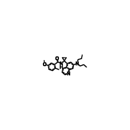 CCCN(CCC)c1cc(C2(NC(=O)c3cc(OC)ccc3C)CC2)c2cccnc2c1